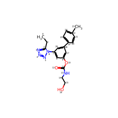 CCc1nnnn1-c1cc(OC(=O)NCCO)cc(-c2ccc(C)cc2)c1